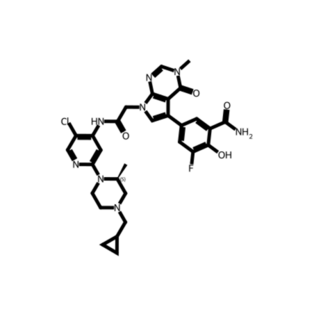 C[C@H]1CN(CC2CC2)CCN1c1cc(NC(=O)Cn2cc(-c3cc(F)c(O)c(C(N)=O)c3)c3c(=O)n(C)cnc32)c(Cl)cn1